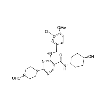 COc1ccc(CNc2nc(N3CCN(C=O)CC3)ncc2C(=O)N[C@H]2CC[C@H](O)CC2)cc1Cl